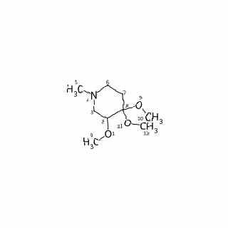 COC1CN(C)CCC1(OC)OC